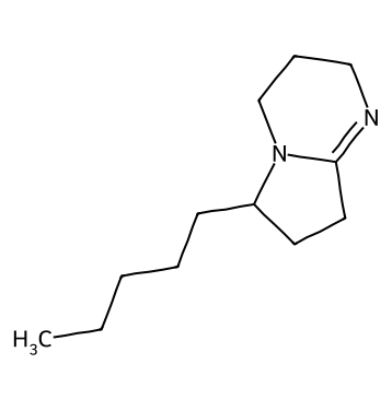 CCCCCC1CCC2=NCCCN21